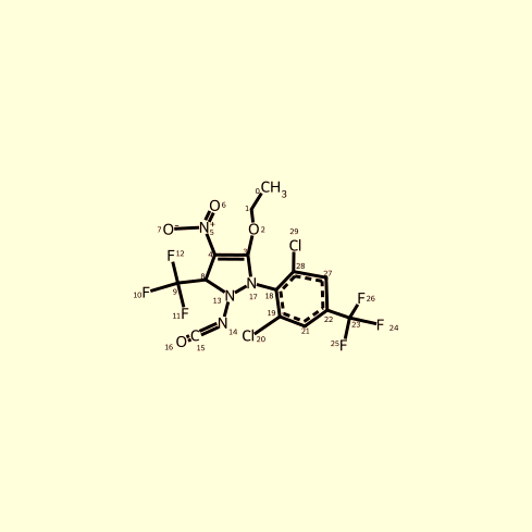 CCOC1=C([N+](=O)[O-])C(C(F)(F)F)N(N=C=O)N1c1c(Cl)cc(C(F)(F)F)cc1Cl